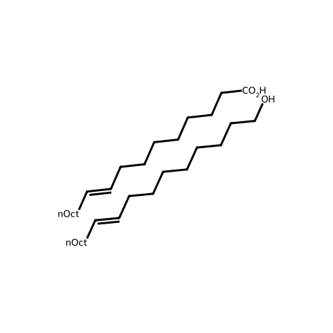 CCCCCCCCC=CCCCCCCCC(=O)O.CCCCCCCCC=CCCCCCCCCO